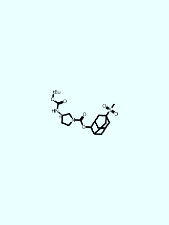 CC(C)(C)OC(=O)N[C@@H]1CCN(C(=O)OC2C3CC4CC2CC(S(C)(=O)=O)(C4)C3)C1